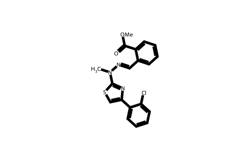 COC(=O)c1ccccc1/C=N/N(C)c1nc(-c2ccccc2Cl)cs1